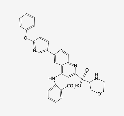 O=C(O)c1ccccc1Nc1cc(S(=O)(=O)C2COCCN2)nc2ccc(-c3ccc(Oc4ccccc4)nc3)cc12